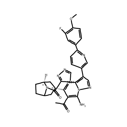 COc1ccc(-c2ccc(-c3cnn4c(N)c(C(C)=O)c([C@@H]5CC6CC[C@@H](C5)N6C(=O)c5nnc[nH]5)nc34)cn2)cc1F